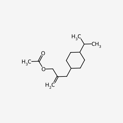 C=C(COC(C)=O)CC1CCC(C(C)C)CC1